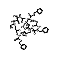 CC[C@H](C)[C@H](NC(=O)C[C@H](NC(=O)OCc1ccccc1)[C@H](CC(C)C)NC(=O)[C@H](Cc1c[nH]cn1)NC(=O)[C@H](Cc1ccccc1)NC(=O)OC(C)(C)C)C(=O)N[C@@H](CCC(=O)ONC(=O)OCc1ccccc1)CC(C)C